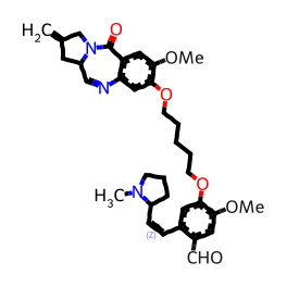 C=C1CC2C=Nc3cc(OCCCCCOc4cc(/C=C\C5CCCN5C)c(C=O)cc4OC)c(OC)cc3C(=O)N2C1